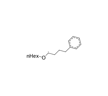 CCCCCCO[CH]CCCc1ccccc1